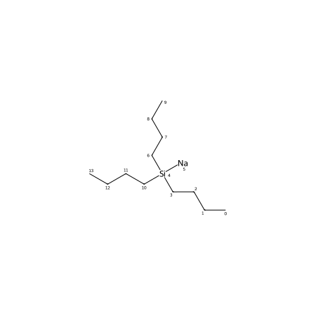 CCCC[Si]([Na])(CCCC)CCCC